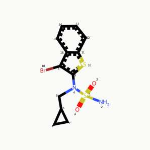 NS(=O)(=O)N(CC1CC1)c1sc2ccccc2c1Br